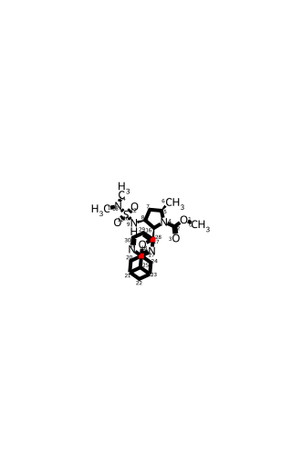 COC(=O)N1[C@H](C)C[C@H](NS(=O)(=O)N(C)C)[C@@H]1COC1CC2CC(C1)C2c1ncccn1